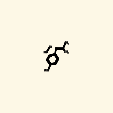 CC(=O)Oc1ccc(C=C(C)C)cc1.CCO